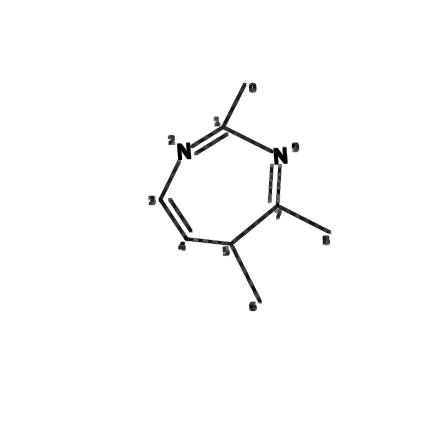 CC1=NC=CC(C)C(C)=N1